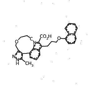 Cc1[nH]nc2c1-c1cccc3c(CCCOc4cccc5ccccc45)c(C(=O)O)n(c13)CCCOC2